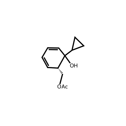 CC(=O)OC[C@@H]1C=CC=CC1(O)C1CC1